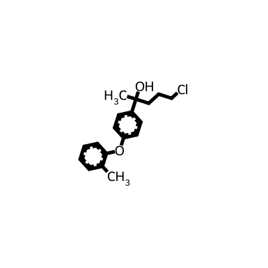 Cc1ccccc1Oc1ccc(C(C)(O)CCCCl)cc1